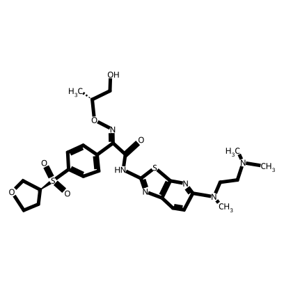 C[C@H](CO)O/N=C(/C(=O)Nc1nc2ccc(N(C)CCN(C)C)nc2s1)c1ccc(S(=O)(=O)[C@H]2CCOC2)cc1